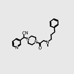 CN(CCCc1ccccc1)CC(=O)N1CCN(C(C#N)c2cccnc2)CC1